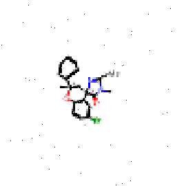 CSC1=N[C@]2(C[C@@](C)(c3ccccc3)Oc3ccc(Br)cc32)C(=O)N1C